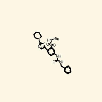 CC(C)(C)NS(=O)(=O)c1cc(NC(=O)NCc2ccccc2)ccc1-c1cnc(N2CC[CH]CC2)s1